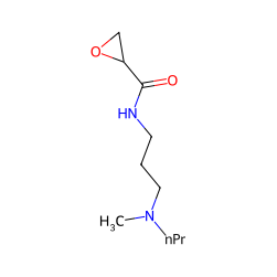 CCCN(C)CCCNC(=O)C1CO1